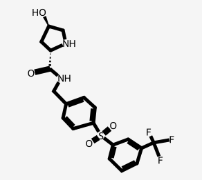 O=C(NCc1ccc(S(=O)(=O)c2cccc(C(F)(F)F)c2)cc1)[C@@H]1C[C@@H](O)CN1